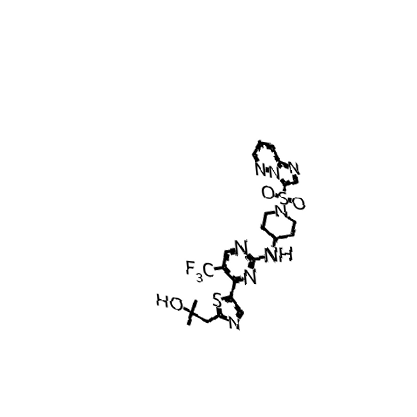 CC(C)(O)Cc1ncc(-c2nc(NC3CCN(S(=O)(=O)c4cnc5cccnn45)CC3)ncc2C(F)(F)F)s1